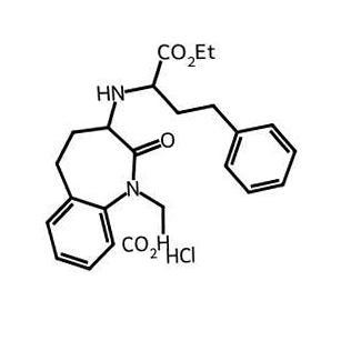 CCOC(=O)C(CCc1ccccc1)NC1CCc2ccccc2N(CC(=O)O)C1=O.Cl